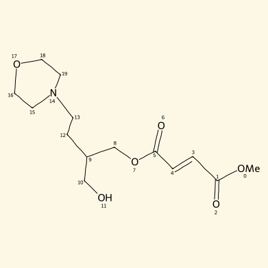 COC(=O)/C=C/C(=O)OCC(CO)CCN1CCOCC1